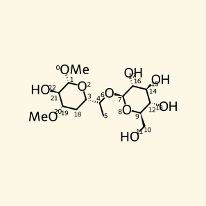 CO[C@@H]1O[C@H](C(C)O[C@@H]2O[C@H](CO)[C@@H](O)[C@H](O)[C@H]2O)C[C@H](OC)[C@H]1O